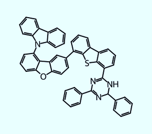 c1ccc(C2=NC(c3ccccc3)NC(c3cccc4c3sc3c(-c5ccc6oc7cccc(-n8c9ccccc9c9ccccc98)c7c6c5)cccc34)=N2)cc1